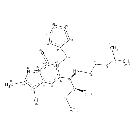 CC[C@H](C)[C@H](NCCCN(C)C)c1cc2c(Cl)c(C)nn2c(=O)n1Cc1ccccc1